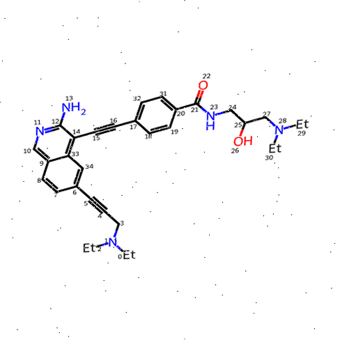 CCN(CC)CC#Cc1ccc2cnc(N)c(C#Cc3ccc(C(=O)NCC(O)CN(CC)CC)cc3)c2c1